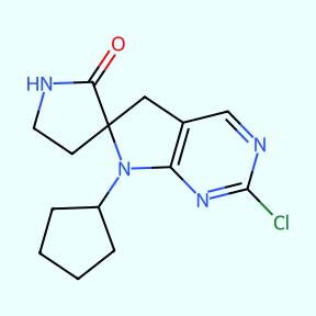 O=C1NCCC12Cc1cnc(Cl)nc1N2C1CCCC1